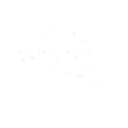 Cc1c(C(=O)Nc2ccc(F)c(F)c2)c2n(c1C(=O)C(=O)NC1(c3cnn[nH]3)CC(F)(F)C1)C[C@H]1C[C@@H]21